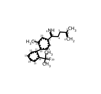 C=C(C)CCC(=N)c1ccc(-c2ccccc2C(C)(C)F)c(C)c1